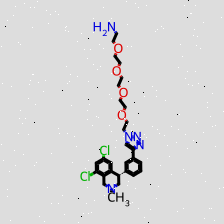 CN1Cc2c(Cl)cc(Cl)cc2[C@H](c2cccc(-c3cn(CCOCCOCCOCCOCCN)nn3)c2)C1